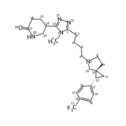 Cn1c(SCCCN2CC[C@]3(C[C@@H]3c3ccc(C(F)(F)F)cc3)C2)nnc1C1CCC(=O)NC1